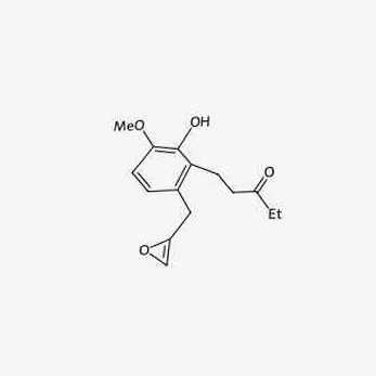 CCC(=O)CCc1c(CC2=CO2)ccc(OC)c1O